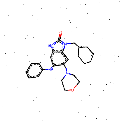 O=c1[nH]c2cc(Nc3ccccc3)c(N3CCOCC3)cc2n1CC1CCCCC1